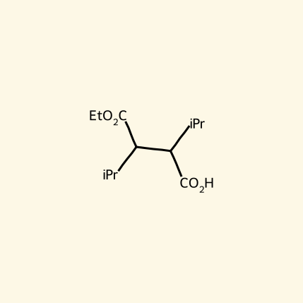 CCOC(=O)C(C(C)C)C(C(=O)O)C(C)C